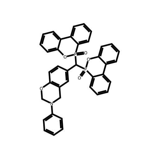 O=P1(C(c2ccc3c(c2)CN(c2ccccc2)CO3)P2(=O)Oc3ccccc3-c3ccccc32)Oc2ccccc2-c2ccccc21